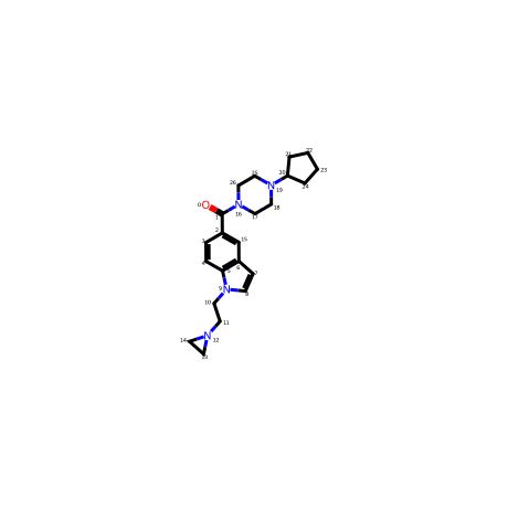 O=C(c1ccc2c(ccn2CCN2CC2)c1)N1CCN(C2CCCC2)CC1